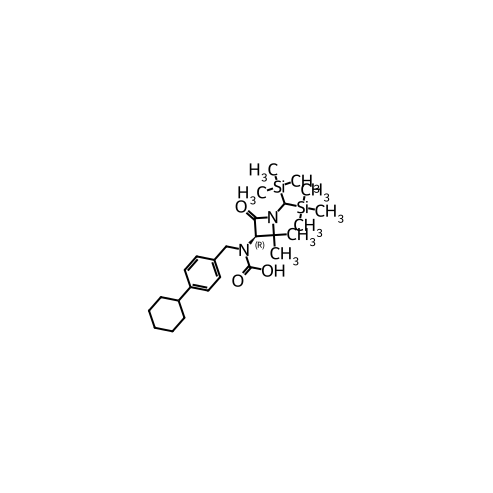 CC1(C)[C@@H](N(Cc2ccc(C3CCCCC3)cc2)C(=O)O)C(=O)N1C([Si](C)(C)C)[Si](C)(C)C